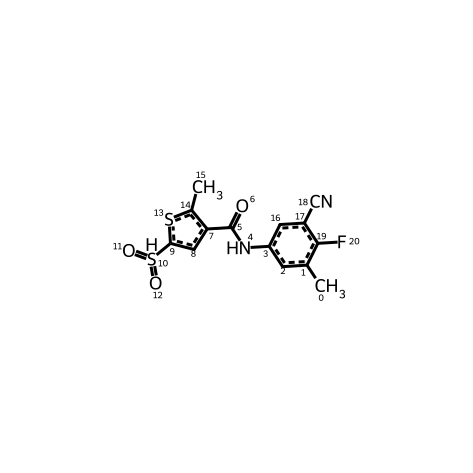 Cc1cc(NC(=O)c2cc([SH](=O)=O)sc2C)cc(C#N)c1F